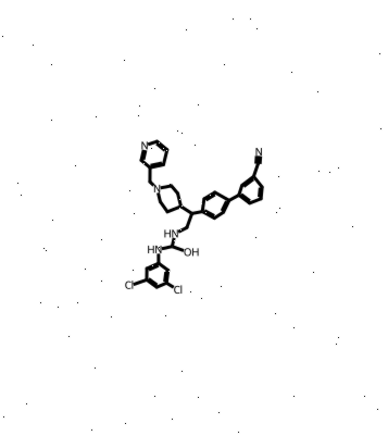 N#Cc1cccc(-c2ccc(C(CNC(O)Nc3cc(Cl)cc(Cl)c3)C3CCN(Cc4cccnc4)CC3)cc2)c1